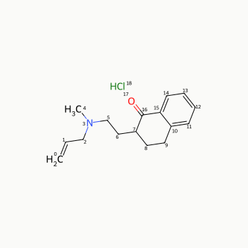 C=CCN(C)CCC1CCc2ccccc2C1=O.Cl